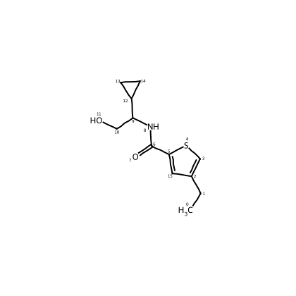 CCc1csc(C(=O)NC(CO)C2CC2)c1